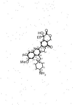 CC[C@@]1(O)C(=O)OCc2c1cc1n(c2=O)Cc2c-1nc1cc(F)c(OC)cc1c2C[N+]1(C)CCC(N)CC1